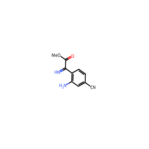 COC(=O)C(=N)c1ccc(C#N)cc1N